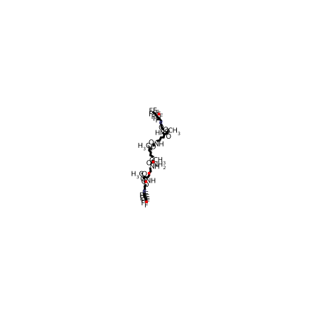 COC(=O)C(CCCCNC(=O)ON(C)CCCCOC(C)(N)C(=O)NCCCCC(NC(=O)OC/C=C/C(F)(F)C(F)(F)C(F)(F)C(F)(F)F)C(=O)OC)NC(=O)OC/C=C/C(F)(F)C(F)(F)C(F)(F)C(F)(F)F